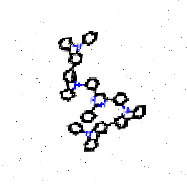 c1ccc(-c2nc(-c3cccc(-n4c5ccccc5c5ccc(-c6ccc7c(c6)c6ccccc6n7-c6ccccc6)cc54)c3)cc(-c3cccc(-n4c5ccccc5c5ccc(-c6ccc7c(c6)c6ccccc6n7-c6ccccc6)cc54)c3)n2)cc1